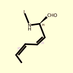 C/C=C\C=C/[C@H](C=O)NI